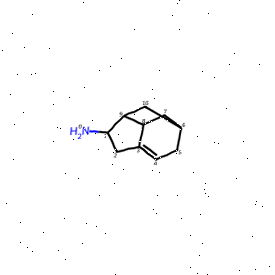 NC1CC2=CCC3CC2C1C3